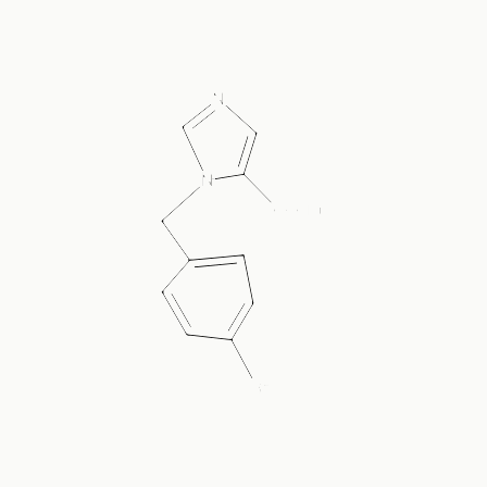 CCOC(=O)c1cncn1Cc1ccc(Br)cc1